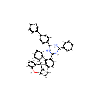 c1ccc(-c2ccc(C3NC(c4cccc5c4-c4ccccc4C54c5ccccc5Oc5ccccc54)=NC(c4ccccc4)N3)cc2)cc1